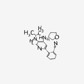 CC(C)n1ncc2nc(-c3ccccc3C#N)cc(N[C@@H]3CCOC3)c21